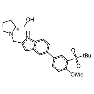 COc1ccc(-c2ccc3[nH]c(CN4CCC[C@@H]4CO)cc3c2)cc1S(=O)(=O)C(C)(C)C